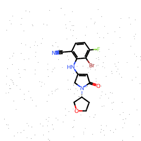 N#Cc1ccc(F)c(Br)c1NC1=CC(=O)N([C@@H]2CCOC2)C1